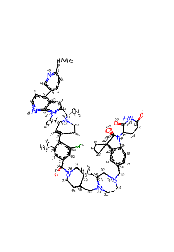 CNc1ccc(-c2ccnc3c2cc([C@H](C)N2CC=C(c4c(C)cc(C(=O)N5CCC(CN6CCN(Cc7ccc8c(c7)C7(CCC7)C(=O)N8C7CCC(=O)NC7=O)C[C@@H]6C)CC5)cc4F)CC2)n3C)cn1